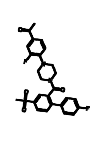 CC(=O)c1ccc(N2CCN(C(=O)c3cc(S(C)(=O)=O)ccc3-c3ccc(F)cc3)CC2)c(F)c1